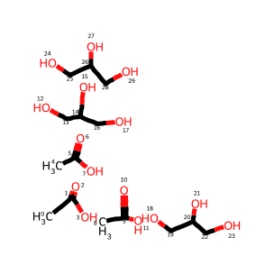 CC(=O)O.CC(=O)O.CC(=O)O.OCC(O)CO.OCC(O)CO.OCC(O)CO